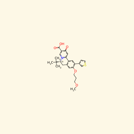 COCCCOc1cc2c(cc1-c1ccsc1)-c1cc(=O)c(C(=O)O)cn1[C@H](C(C)(C)C)C2